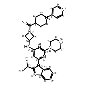 O=C(C1CCN(c2ccncc2)CC1)N1CC(Nc2cc(-n3c(C(F)F)nc4ccccc43)nc(N3CCOCC3)n2)C1